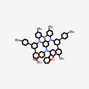 CC(C)(C)c1ccc(-c2cc(-c3ccc(C(C)(C)C)cc3)cc(N3c4ccc(C(C)(C)C)cc4B4c5cc(C(C)(C)C)ccc5N(c5cc(-c6ccc(C(C)(C)C)cc6)cc(-c6ccc(C(C)(C)C)cc6)c5)c5cc(N(c6ccc(C(C)(C)C)cc6)c6cccc7oc8ccccc8c67)cc3c54)c2)cc1